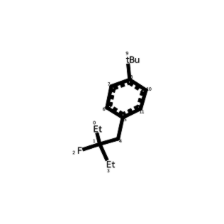 CCC(F)(CC)Cc1ccc(C(C)(C)C)cc1